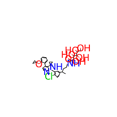 CC(CCCNC(=O)C(O)C(O)C(O)C(O)CO)c1ccc(Cl)c(CNC2(c3cnccc3-c3ccccc3OC3CC3)CC2)c1